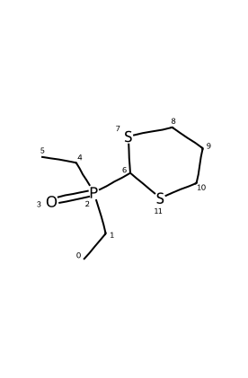 CCP(=O)(CC)C1SCCCS1